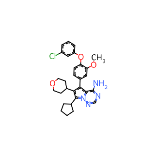 COc1cc(-c2c(C3CCOCC3)c(C3CCCC3)n3ncnc(N)c23)ccc1Oc1cccc(Cl)c1